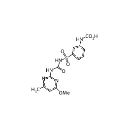 COc1cc(C)nc(NC(=O)NS(=O)(=O)c2cccc(NC(=O)O)c2)n1